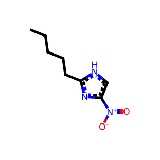 CCCCCc1nc([N+](=O)[O-])c[nH]1